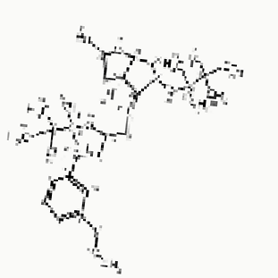 COCc1cccc(CCC(C=C=C2[C@H]3CC(O)OC3C[C@H]2O[Si](C)(C)C(C)(C)C)O[Si](C)(C)C(C)(C)C)c1